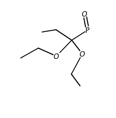 CCOC(CC)(OCC)P=O